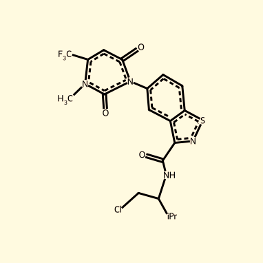 CC(C)C(CCl)NC(=O)c1nsc2ccc(-n3c(=O)cc(C(F)(F)F)n(C)c3=O)cc12